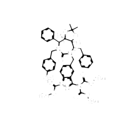 CC(C)(C)OC(=O)N(C(=O)OC(C)(C)C)c1nn(C(=O)OC(C)(C)C)c2ccc(CN3C(=O)N(Cc4ccc(O)cc4)C(c4ccccc4)[C@@H]4OC(C)(C)O[C@H]4[C@H]3Cc3ccccc3)cc12